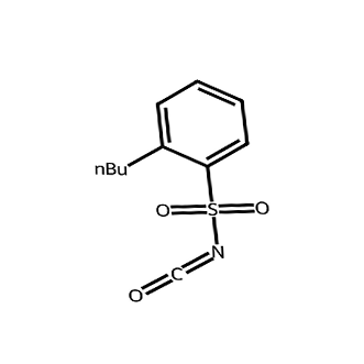 CCCCc1ccccc1S(=O)(=O)N=C=O